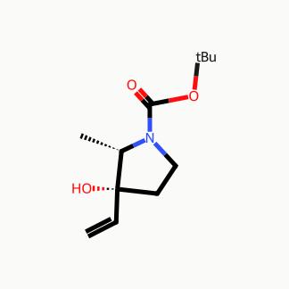 C=C[C@]1(O)CCN(C(=O)OC(C)(C)C)[C@H]1C